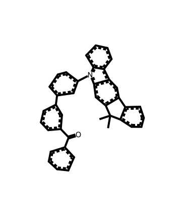 CC1(C)c2ccccc2-c2cc3c4ccccc4n(-c4cccc(-c5cccc(C(=O)c6ccccc6)c5)c4)c3cc21